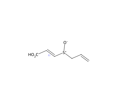 C=CC[S+]([O-])/C=C/C(=O)O